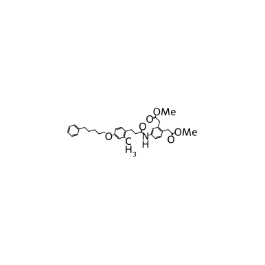 COC(=O)Cc1ccc(NC(=O)CCc2ccc(OCCCCCc3ccccc3)cc2C)cc1CC(=O)OC